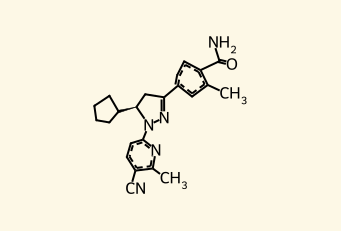 Cc1cc(C2=NN(c3ccc(C#N)c(C)n3)[C@@H](C3CCCC3)C2)ccc1C(N)=O